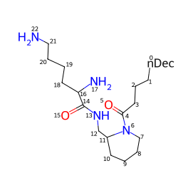 CCCCCCCCCCCCCC(=O)N1CCCCC1CNC(=O)C(N)CCCCN